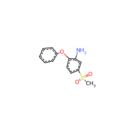 CS(=O)(=O)c1ccc(Oc2ccccc2)c(N)c1